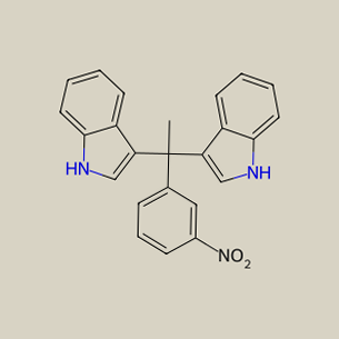 CC(c1cccc([N+](=O)[O-])c1)(c1c[nH]c2ccccc12)c1c[nH]c2ccccc12